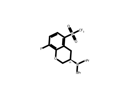 CCCN(CCC)[C@H]1COc2c(F)ccc(S(=O)(=O)C(F)(F)F)c2C1